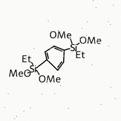 CC[Si](OC)(OC)c1ccc([Si](CC)(OC)OC)cc1